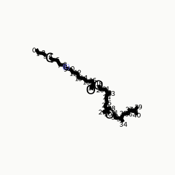 CCCCCCCC/C=C/CCCCCCCC(=O)OCCC(C)CCCC(C)(C)OCCC(C)CCC=C(C)C